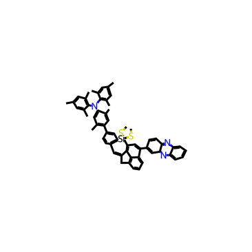 CS[Si]1(SC)c2cc(-c3cc(C)c(N(c4c(C)cc(C)cc4C)c4c(C)cc(C)cc4C)cc3C)ccc2C=C2Cc3cccc4c(-c5ccc6nc7ccccc7nc6c5)cc1c2c34